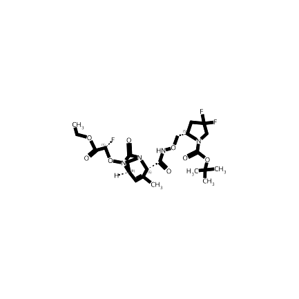 CCOC(=O)[C@H](F)ON1C(=O)N2C[C@H]1C=C(C)[C@H]2C(=O)NOC[C@@H]1CC(F)(F)CN1C(=O)OC(C)(C)C